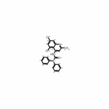 Cc1cc(NC(=O)N(c2ccccc2)c2ccccc2)c2c(Cl)cc(Cl)cc2n1